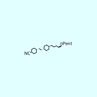 CCCCC/C=C\CCC[C@H]1CC[C@H](CC[C@H]2CC[C@H](C#N)CC2)CC1